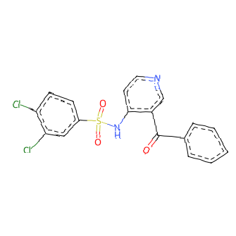 O=C(c1ccccc1)c1cnccc1NS(=O)(=O)c1ccc(Cl)c(Cl)c1